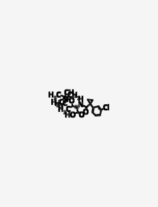 CC(O[Si](C)(C)C(C)(C)C)[C@H](NC(=O)C1(c2cccc(Cl)c2)CC1)C(=O)O